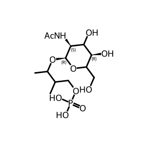 CC(=O)N[C@H]1C(O)[C@@H](O)C(CO)O[C@H]1OC(C)C(C)COP(=O)(O)O